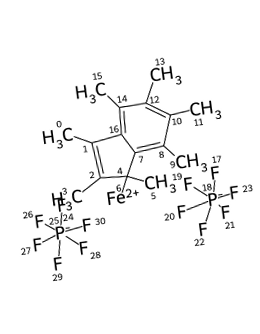 CC1=C(C)[C](C)([Fe+2])c2c(C)c(C)c(C)c(C)c21.F[P-](F)(F)(F)(F)F.F[P-](F)(F)(F)(F)F